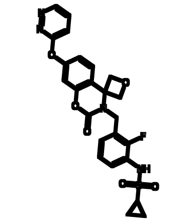 O=C1Oc2cc(Oc3cccnn3)ccc2C2(COC2)N1Cc1cccc(NS(=O)(=O)C2CC2)c1F